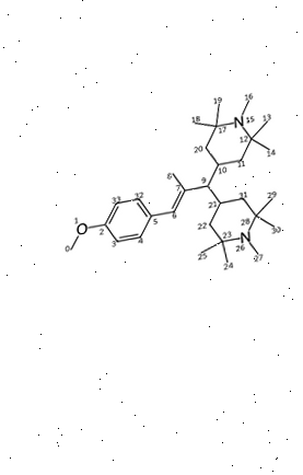 COc1ccc(C=C(C)C(C2CC(C)(C)N(C)C(C)(C)C2)C2CC(C)(C)N(C)C(C)(C)C2)cc1